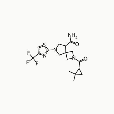 CC1(C)C[C@@H]1C(=O)N1CC2(C1)CN(c1nc(C(F)(F)F)cs1)CC2C(N)=O